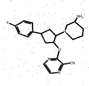 N#Cc1nccnc1OC1CC(c2ccc(F)cc2)CC1N1CCCC(N)C1